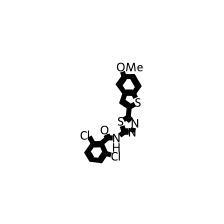 COc1ccc2sc(-c3nnc(NC(=O)c4c(Cl)cccc4Cl)s3)cc2c1